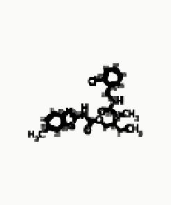 CC[C@@H](COC(=O)Nc1nc2ccc(C)cc2s1)N(C)C(=O)NCc1ccccc1Cl